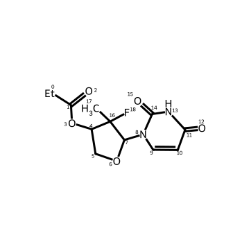 CCC(=O)OC1COC(n2ccc(=O)[nH]c2=O)C1(C)F